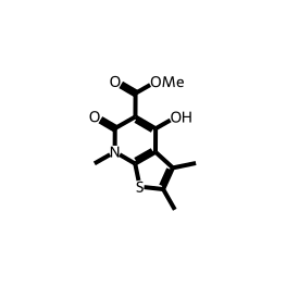 COC(=O)c1c(O)c2c(C)c(C)sc2n(C)c1=O